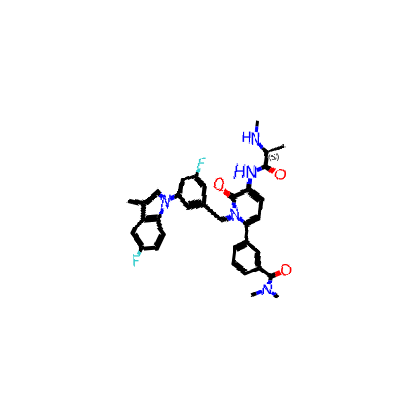 CN[C@@H](C)C(=O)Nc1ccc(-c2cccc(C(=O)N(C)C)c2)n(Cc2cc(F)cc(-n3cc(C)c4cc(F)ccc43)c2)c1=O